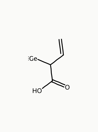 C=C[CH]([Ge])C(=O)O